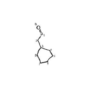 O=PCC1CCCCC1